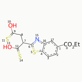 CCOC(=O)c1ccc2sc(C(CC(O)=S)C(O)=S)nc2c1